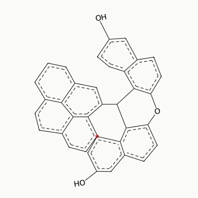 Oc1ccc2c3c(ccc2c1)Oc1ccc2cc(O)ccc2c1C3c1cc2cccc3ccc4cccc1c4c32